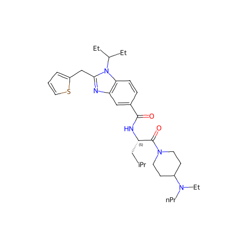 CCCN(CC)C1CCN(C(=O)[C@H](CC(C)C)NC(=O)c2ccc3c(c2)nc(Cc2cccs2)n3C(CC)CC)CC1